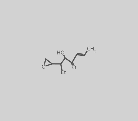 CC=CC(=O)C(O)C(CC)C1CO1